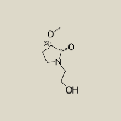 CO[C@H]1CCN(CCO)C1=O